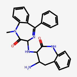 CN1C(=O)C(NC2C(=O)Nc3ccccc3CC2N)N=C(c2ccccc2)c2ccccc21